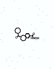 O=C(NO)c1ccc2c(c1)CCCN(C(=O)C1CCCCCC1)C2